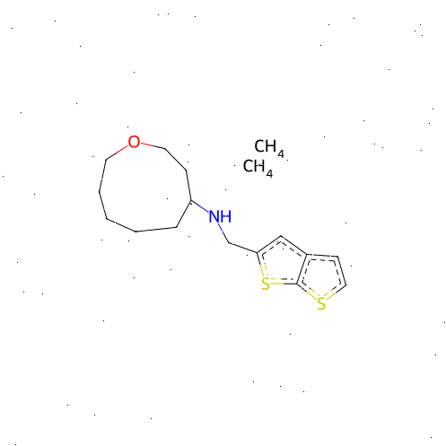 C.C.c1cc2cc(CN[C]3CCCCCOCC3)sc2s1